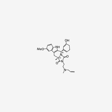 C=CCN(C)CCN1C(=O)N2[C@H](C3=CCCC(O)=C3)c3[nH]c4ccc(OC)cc4c3C[C@@]2(C)C1=O